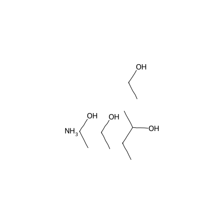 CCC(C)O.CCO.CCO.CCO.N